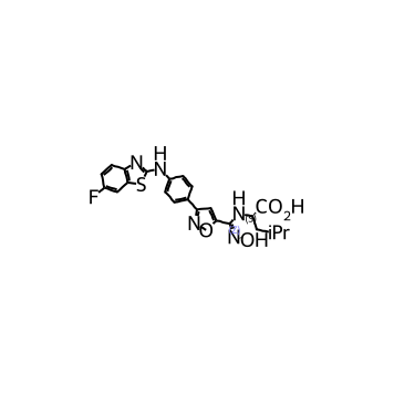 CC(C)C[C@H](N/C(=N\O)c1cc(-c2ccc(Nc3nc4ccc(F)cc4s3)cc2)no1)C(=O)O